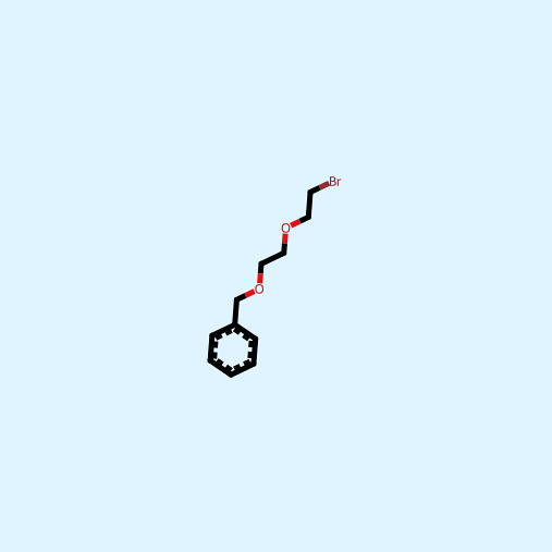 BrCCOCCOCc1ccccc1